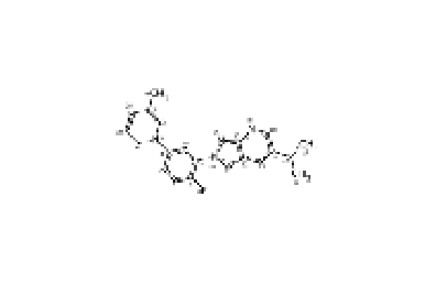 CC1=CN(c2ccc(F)c(-n3cc4cc(C(C)C)cnc4n3)c2)CC=N1